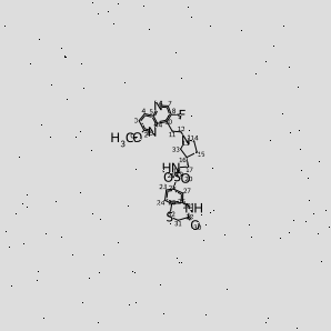 COc1ccc2ncc(F)c(CCN3CC[C@@H](CNS(=O)(=O)c4ccc5c(c4)NC(=O)CS5)C3)c2n1